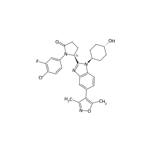 Cc1noc(C)c1-c1ccc2c(c1)nc([C@@H]1CCC(=O)N1c1ccc(Cl)c(F)c1)n2[C@H]1CC[C@H](O)CC1